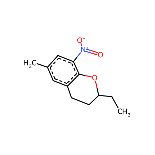 CCC1CCc2cc(C)cc([N+](=O)[O-])c2O1